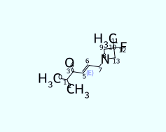 CC(C)C(=O)/C=C/CN1CC(C)(F)C1